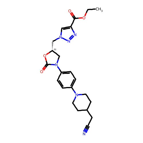 CCOC(=O)c1cn(C[C@@H]2CN(c3ccc(N4CCC(CC#N)CC4)cc3)C(=O)O2)nn1